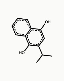 CC(C)c1cc(O)c2ccccc2c1O